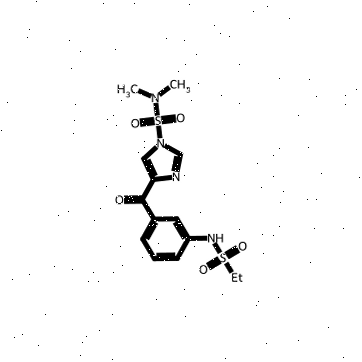 CCS(=O)(=O)Nc1cccc(C(=O)c2cn(S(=O)(=O)N(C)C)cn2)c1